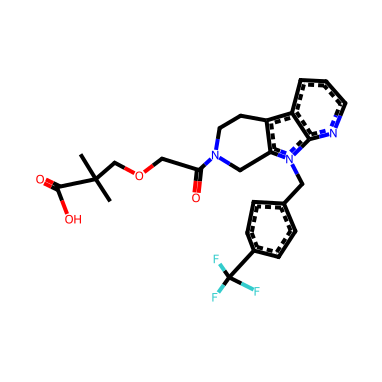 CC(C)(COCC(=O)N1CCc2c(n(Cc3ccc(C(F)(F)F)cc3)c3ncccc23)C1)C(=O)O